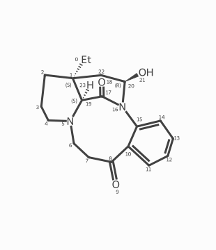 CC[C@@]12CCCN3CCC(=O)c4ccccc4N(C(=O)[C@@H]31)[C@H](O)C2